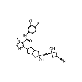 Cn1cnc(C2CC3CC(O)(C#CC4(O)CC(C#N)C4)CC3C2)c1C(=O)Nc1ccc(F)c(Cl)c1